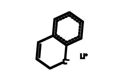 C1=Cc2ccccc2[CH-]C1.[Li+]